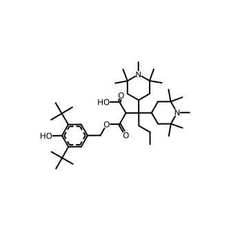 CCCC(C1CC(C)(C)N(C)C(C)(C)C1)(C1CC(C)(C)N(C)C(C)(C)C1)C(C(=O)O)C(=O)OCc1cc(C(C)(C)C)c(O)c(C(C)(C)C)c1